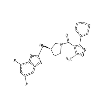 Cc1onc(-c2ccccc2)c1C(=O)N1CC[C@@H](Nc2nc3cc(F)cc(F)c3s2)C1